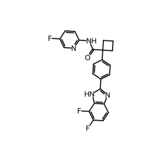 O=C(Nc1ccc(F)cn1)C1(c2ccc(-c3nc4ccc(F)c(F)c4[nH]3)cc2)CCC1